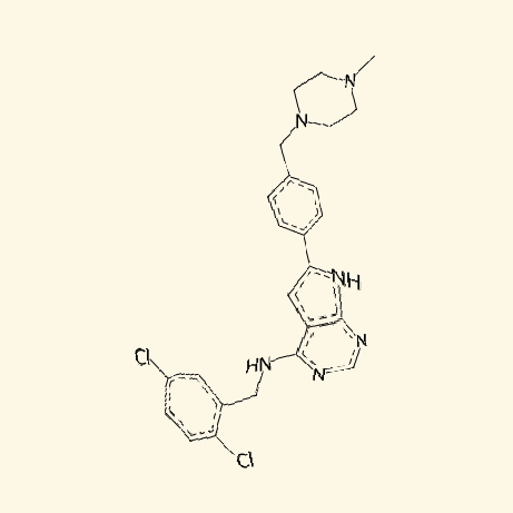 CN1CCN(Cc2ccc(-c3cc4c(NCc5cc(Cl)ccc5Cl)ncnc4[nH]3)cc2)CC1